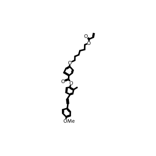 C=CC(=O)OCCCCCCOc1ccc(C(=O)Oc2ccc(C#Cc3ccc(OC)cc3)cc2C)cc1